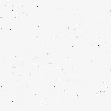 O=[S-](=O)OCCCO.[Li+]